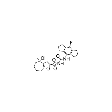 CC1(O)CCCCc2oc(S(=O)(=O)NC(=O)Nc3c4c(c(F)c5c3CCC5)CCC4)cc21